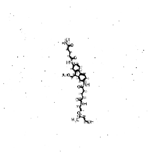 CCNC(=O)CCCC(=O)Nc1ccc2c(c1)C(COC(C)=O)c1cc(NC(=O)CCCC(=O)NCCOC(C)CCO)ccc1-2